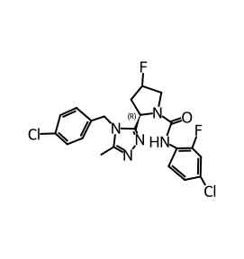 Cc1nnc([C@H]2CC(F)CN2C(=O)Nc2ccc(Cl)cc2F)n1Cc1ccc(Cl)cc1